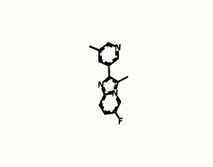 Cc1cncc(-c2nc3ccc(F)cn3c2C)c1